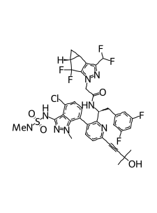 CNS(=O)(=O)Nc1nn(C)c2c(-c3ccc(C#CC(C)(C)O)nc3[C@H](Cc3cc(F)cc(F)c3)NC(=O)Cn3nc(C(F)F)c4c3C(F)(F)[C@@H]3CC43)ccc(Cl)c12